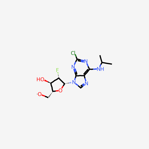 CC(C)Nc1nc(Cl)nc2c1ncn2[C@@H]1O[C@H](C[O])[C@@H](O)[C@@H]1F